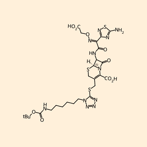 CC(C)(C)OC(=O)NCCCCCCn1nnnc1SCC1=C(C(=O)O)N2C(=O)C(NC(=O)C(=NOCC(=O)O)c3nsc(N)n3)[C@@H]2SC1